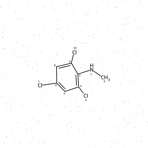 CNc1c(Cl)cc(Cl)cc1Cl